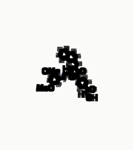 COc1ccc(OC)c(/C=C/C(=O)NC(Cc2ccc3ccccc3c2)C(=O)Nc2ccc(C(=O)NO)cc2)c1